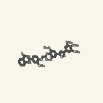 COc1cc(C2NC(=O)c3ccccc3N2)ccc1OCCOc1c(OC)cc(-c2cc(-c3cc(OC)c(OC)c(OC)c3)no2)cc1OC